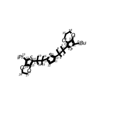 CCC(C)c1sc(C(C)(C)C(C)(C)c2ccc(C(C)(C)C(C)(C)c3sc(C(C)C)c4c3OCCO4)s2)c2c1OCCO2